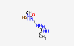 CCc1[nH]cnc1CNCCNC(=O)N(C)S